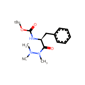 CN(C#N)N(C)C(=O)[C@H](Cc1ccccc1)NC(=O)OC(C)(C)C